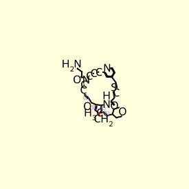 C=C(/C=C/C1CCOCC1)/C=C1/C(=O)/C=C/CCN(C(=O)CCN)CCCc2cc(ccn2)C2=CCC(=CS2)C(=O)N/C1=C/C